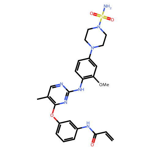 C=CC(=O)Nc1cccc(Oc2nc(Nc3ccc(N4CCN(S(N)(=O)=O)CC4)cc3OC)ncc2C)c1